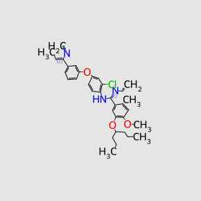 C=C/N=C(/Nc1ccc(Oc2cccc(/C(=C/C)N=C)c2)cc1Cl)c1cc(OC(CCC)CCC)c(OC)cc1C